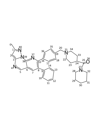 Cc1cc2ncc3cc(-c4ccccc4)c(-c4ccc(CN5CCC(C(=O)N6CCCCC6)CC5)cc4)nc3n2n1